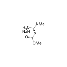 CNC(C)=CC(=O)OC.[NaH]